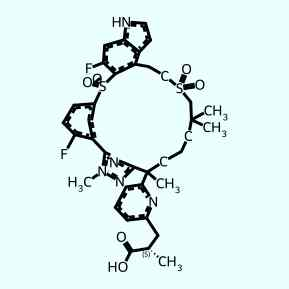 C[C@@H](Cc1cccc(C2(C)CCCC(C)(C)CS(=O)(=O)CCc3c(c(F)cc4[nH]ccc34)S(=O)(=O)c3ccc(F)c(c3)-c3nc2nn3C)n1)C(=O)O